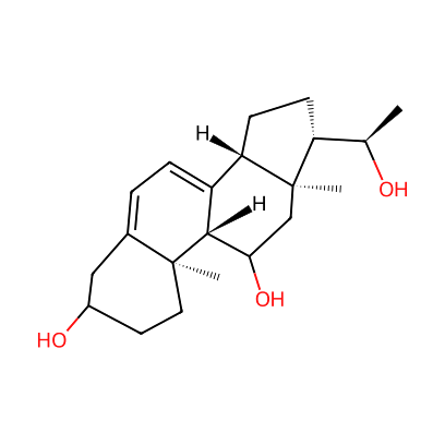 C[C@@H](O)[C@H]1CC[C@H]2C3=CC=C4CC(O)CC[C@]4(C)[C@H]3C(O)C[C@]12C